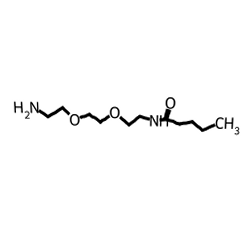 CCCCC(=O)NCCOCCOCCN